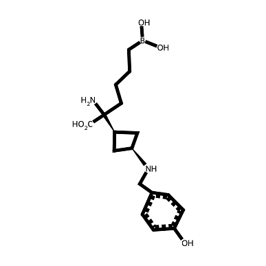 NC(CCCCB(O)O)(C(=O)O)[C@H]1C[C@@H](NCc2ccc(O)cc2)C1